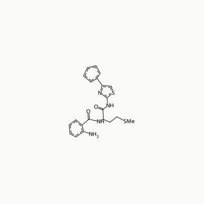 CSCCC(NC(=O)c1ccccc1N)C(=O)Nc1nc(-c2ccccc2)cs1